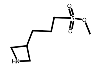 COS(=O)(=O)CCCC1CNC1